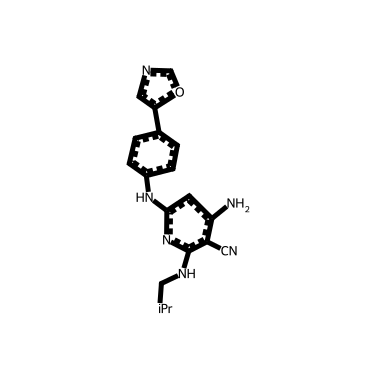 CC(C)CNc1nc(Nc2ccc(-c3cnco3)cc2)cc(N)c1C#N